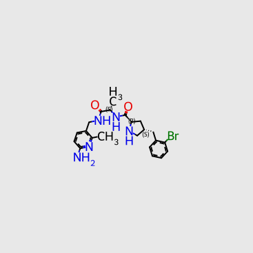 Cc1nc(N)ccc1CNC(=O)[C@H](C)NC(=O)[C@H]1C[C@H](Cc2ccccc2Br)CN1